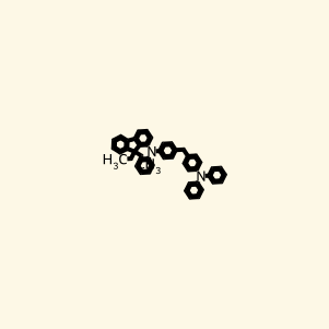 CCC1(CC)c2ccccc2-c2cccc(N(c3ccccc3)c3ccc(Cc4ccc(N(c5ccccc5)c5ccccc5)cc4)cc3)c21